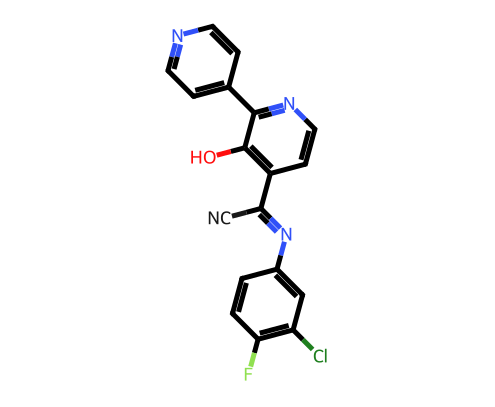 N#C/C(=N\c1ccc(F)c(Cl)c1)c1ccnc(-c2ccncc2)c1O